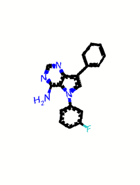 Nc1ncnc2c(C3=CC=CCC3)cn(-c3cccc(F)c3)c12